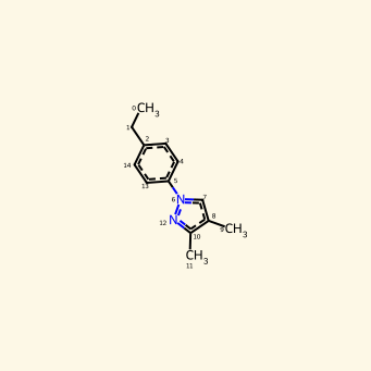 CCc1ccc(-n2cc(C)c(C)n2)cc1